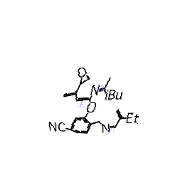 C=C(/C=N\Cc1ccc(C#N)cc1OC(=C/C(=C)C1CO1)/N=C(/C)C(C)CC)CC